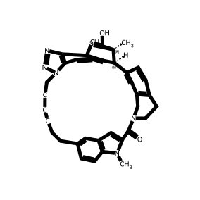 Cc1c2ccc3c1nnn3CCCCCCc1ccc3c(c1)cc(n3C)C(=O)N1CCc3ccc(cc3C1)[C@@H]2[C@@H](C)C(=O)O